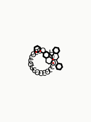 c1ccc(-c2cc3c(c4c2OCCOCCOCCOCCOCCOC2C(c5ccccc5)Cc5ccccc5[C@H]42)CCCC3)cc1